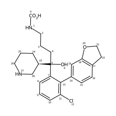 O=C(O)NCCCC(O)(c1cccc(Cl)c1-c1ccc2c(c1)OCC2)[C@@H]1CCCNC1